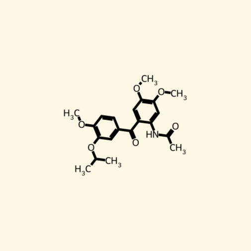 COc1cc(NC(C)=O)c(C(=O)c2ccc(OC)c(OC(C)C)c2)cc1OC